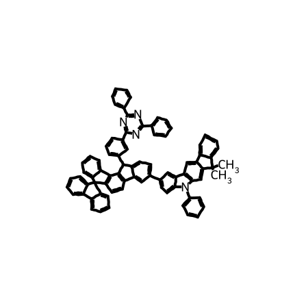 CC1(C)c2ccccc2-c2cc3c4cc(-c5ccc6c(c5)-c5ccc7c(c5C6c5cccc(-c6nc(-c8ccccc8)nc(-c8ccccc8)n6)c5)-c5ccccc5C75c6ccccc6-c6ccccc65)ccc4n(-c4ccccc4)c3cc21